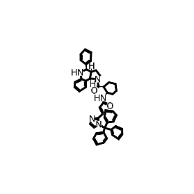 O=C(/C=C/c1nccn1C(c1ccccc1)(c1ccccc1)c1ccccc1)N[C@@H]1CCCC[C@@H]1C(=O)N1CC[C@@H]2[C@H](c3ccccc3)Nc3ccccc3[C@@H]21